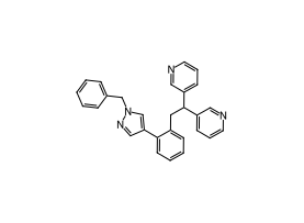 c1ccc(Cn2cc(-c3ccccc3CC(c3cccnc3)c3cccnc3)cn2)cc1